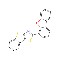 c1ccc2c(c1)oc1c(-c3nc4sc5ccccc5c4s3)cccc12